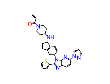 C=CC(=O)N1CCC(N[C@H]2CCc3cc(-n4c(-c5cccs5)nc5ccc(-n6cccn6)nc54)ccc32)CC1